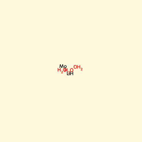 O.O.O.[LiH].[Mo]